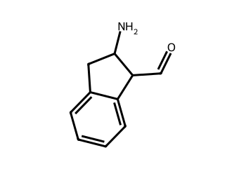 NC1Cc2ccccc2C1C=O